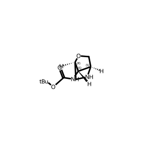 CC(C)(C)OC(=O)N[C@H]1[C@H]2CO[C@@H]1CN2